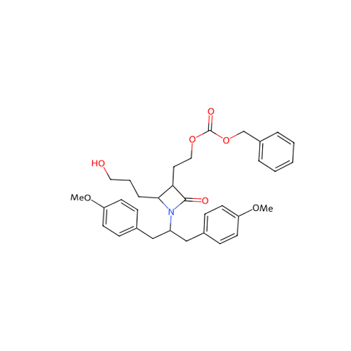 COc1ccc(CC(Cc2ccc(OC)cc2)N2C(=O)C(CCOC(=O)OCc3ccccc3)C2CCCO)cc1